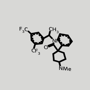 CNC1CCC(C(=O)NC(C)c2cc(C(F)(F)F)cc(C(F)(F)F)c2)(c2ccccc2)CC1